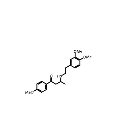 COc1ccc(C(=O)CC(C)NCCc2ccc(OC)c(OC)c2)cc1